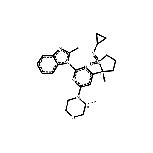 Cc1nc2ccccc2n1-c1nc(N2CCOC[C@H]2C)cc([C@@]2(C)CCCS2(=O)=NC2CC2)n1